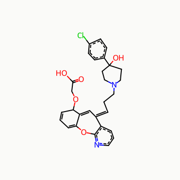 O=C(O)COC1C=CC=C2Oc3ncccc3C(=CCCN3CCC(O)(c4ccc(Cl)cc4)CC3)C=C21